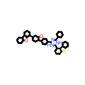 C1=CC2Sc3ccccc3C2C(C2NC(c3ccccc3)=NC(c3ccc4c(c3)oc3cc(-c5cccc6c5oc5ccccc56)ccc34)N2)=C1